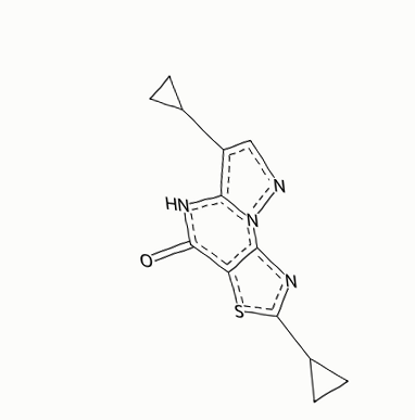 O=c1[nH]c2c(C3CC3)cnn2c2nc(C3CC3)sc12